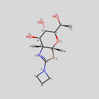 CC[C@H](O)[C@H]1O[C@@H]2SC(N3CCC3)=N[C@@H]2[C@@H](O)[C@@H]1O